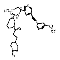 CCOc1cccc(C#Cc2cncc([C@H](CC(=O)O)NC(=O)[C@@H]3CCCN(C(=O)CCC4CCNCC4)C3)c2)c1